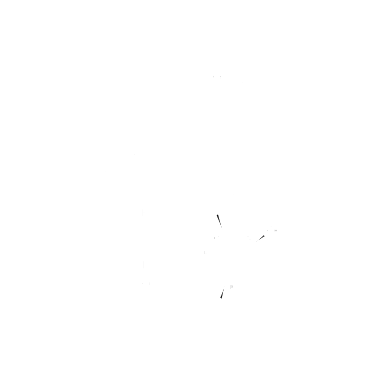 CCCCC(OC1CCCCO1)C(F)(F)C=C[C@@H]1[C@@H](CC=CCCCC(=O)O)[C@@H](O)C[C@H]1O